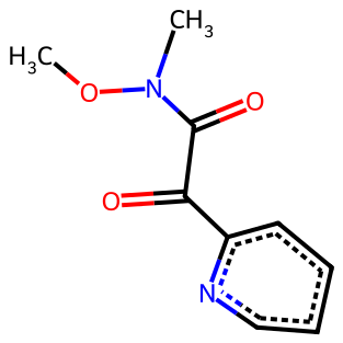 CON(C)C(=O)C(=O)c1ccccn1